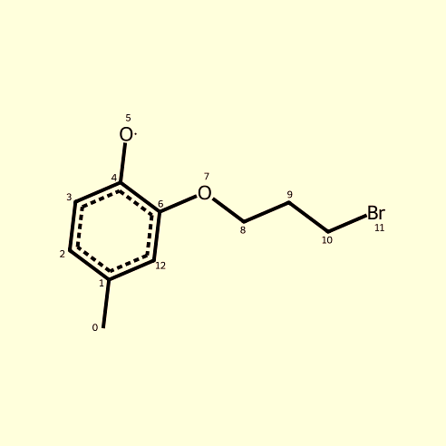 Cc1ccc([O])c(OCCCBr)c1